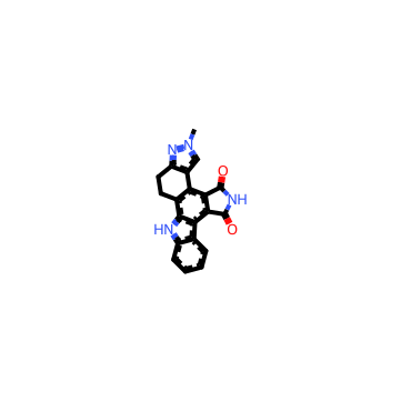 Cn1cc2c(n1)CCc1c-2c2c(c3c1[nH]c1ccccc13)C(=O)NC2=O